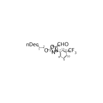 CCCCCCCCCCCCOC1=NN(c2cccc(C(F)(F)F)c2)C(C=O)O1